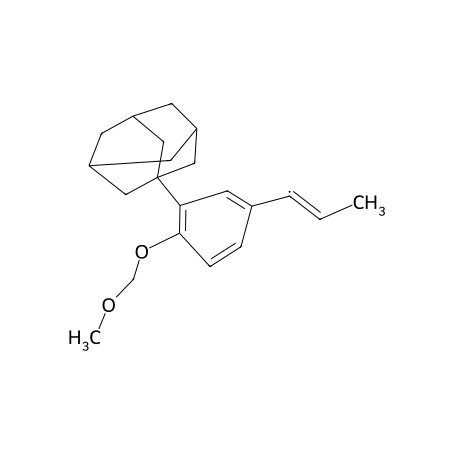 C/C=[C]/c1ccc(OCOC)c(C23CC4CC(CC(C4)C2)C3)c1